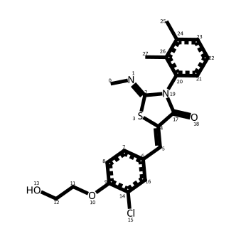 C/N=C1\S/C(=C\c2ccc(OCCO)c(Cl)c2)C(=O)N1c1cccc(C)c1C